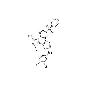 Cc1cc(C(F)(F)F)nn1-c1nc(Nc2ccc(F)c(Cl)c2)ncc1N1C=NC=C(S(=O)(=O)N2CCOCC2)C1